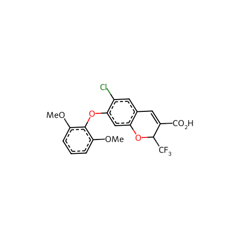 COc1cccc(OC)c1Oc1cc2c(cc1Cl)C=C(C(=O)O)C(C(F)(F)F)O2